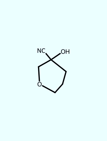 N#CC1(O)CCCOC1